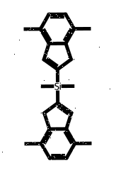 Cc1ccc(C)c2c1[CH]C([Si](C)(C)C1=Cc3c(C)ccc(C)c3[CH]1)=C2